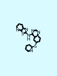 c1ccc(Sc2ccc3ncnc(Nc4nc5cccnc5s4)c3c2)nc1